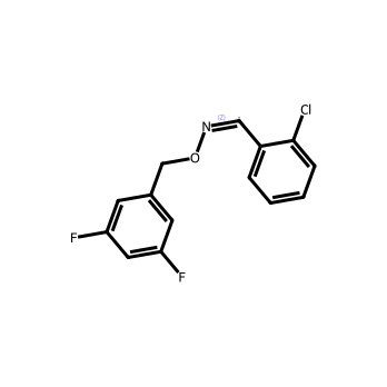 Fc1cc(F)cc(CO/N=[C]\c2ccccc2Cl)c1